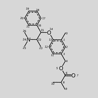 Cc1cc(COC(=O)C(C)C)ccc1OC(c1ccccc1)C(C)N(C)C